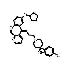 OC1(c2ccc(Cl)cc2)CCN(CC/C=C2/c3cc(OC4CCCC4)ccc3OCc3ncccc32)CC1